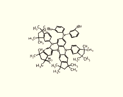 CC(C)(C)c1cccc(N(c2cccc(C(C)(C)C)c2)c2cc3c4c(c2)N(c2ccc5c(c2)C(C)(C)CC5(C)C)c2cc5c(cc2B4c2cc4c(cc2N3c2ccc3c(c2)C(C)(C)CC3(C)C)C(C)(C)CC4(C)C)C(C)(C)CC5(C)C)c1